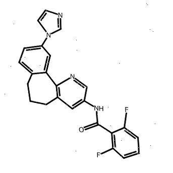 O=C(Nc1cnc2c(c1)CCCc1ccc(-n3ccnc3)cc1-2)c1c(F)cccc1F